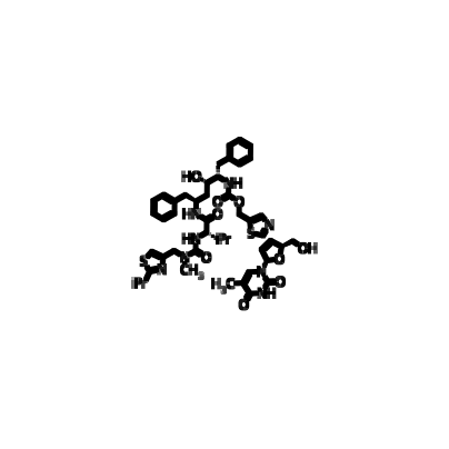 CC(C)c1nc(CN(C)C(=O)N[C@H](C(=O)N[C@@H](Cc2ccccc2)C[C@H](O)[C@H](Cc2ccccc2)NC(=O)OCc2cncs2)C(C)C)cs1.Cc1cn([C@H]2C=C[C@@H](CO)O2)c(=O)[nH]c1=O